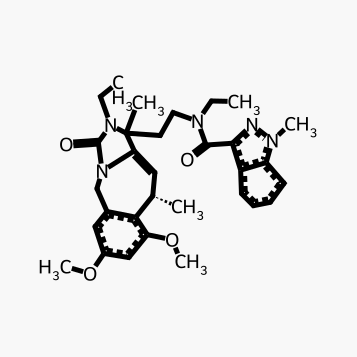 CCN(CCC1(C)C2=C[C@H](C)c3c(cc(OC)cc3OC)CN2C(=O)N1CC)C(=O)c1nn(C)c2ccccc12